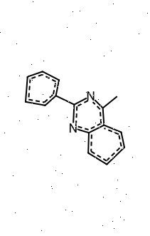 Cc1nc(-c2ccccc2)nc2ccccc12